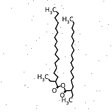 CCCCCCCCCCCCCCCCC(CC)C(=O)OC(=O)C(CC)CCCCCCCCCCCCCCCC